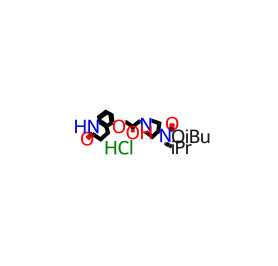 CC(C)COC(=O)N(CC(C)C)C1CCN(CC(O)COc2cccc3c2CCC(=O)N3)CC1.Cl